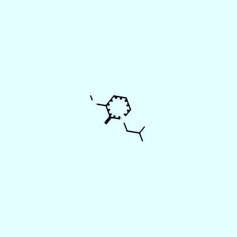 CCCCOc1cccn(CC(C)C(C)=O)c1=O